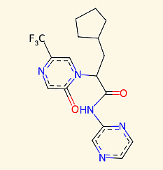 O=C(Nc1cnccn1)C(CC1CCCC1)n1cc(C(F)(F)F)ncc1=O